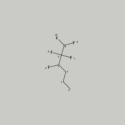 CCCC(F)C(F)(F)[C](F)F